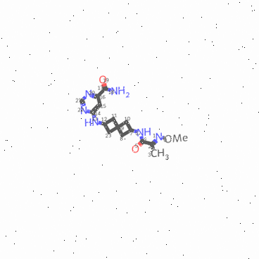 CON=C(C)C(=O)NC1CC2(C1)CC(Nc1cc(C(N)=O)ncn1)C2